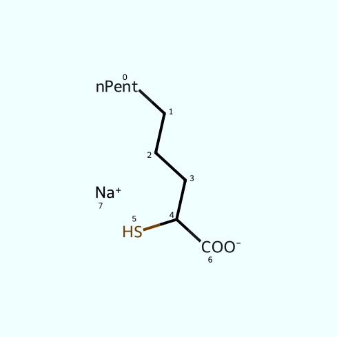 CCCCCCCCC(S)C(=O)[O-].[Na+]